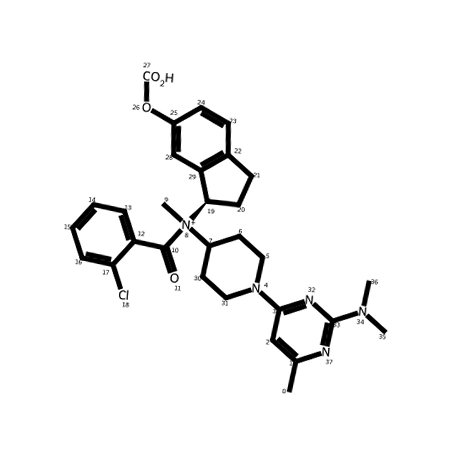 Cc1cc(N2CCC([N+](C)(C(=O)c3ccccc3Cl)[C@@H]3CCc4ccc(OC(=O)O)cc43)CC2)nc(N(C)C)n1